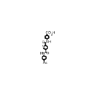 CC(=O)c1ccc(NC(=O)c2ccc(C(=O)Nc3ccc(C(=O)O)cc3)nc2)cc1